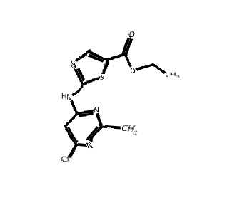 CCOC(=O)c1cnc(Nc2cc(Cl)nc(C)n2)s1